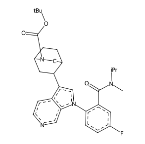 CC(C)N(C)C(=O)c1cc(F)ccc1-n1cc(C2CC3CCC2CN3C(=O)OC(C)(C)C)c2ccncc21